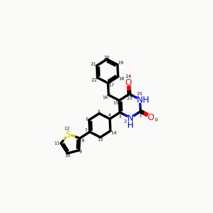 O=c1[nH]c(C2CC=C(c3cccs3)CC2)c(Cc2ccccc2)c(=O)[nH]1